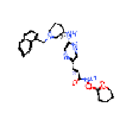 O=C(/C=C/c1cnc(N[C@@H]2CCCN(Cc3cccc4ccccc34)C2)cn1)NOC1CCCCO1